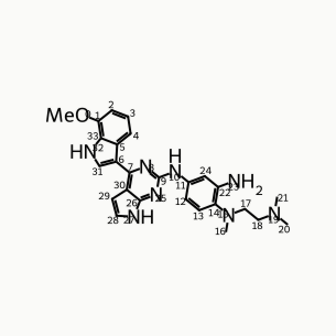 COc1cccc2c(-c3nc(Nc4ccc(N(C)CCN(C)C)c(N)c4)nc4[nH]ccc34)c[nH]c12